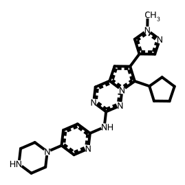 Cn1cc(-c2cc3cnc(Nc4ccc(N5CCNCC5)cn4)nn3c2C2CCCC2)cn1